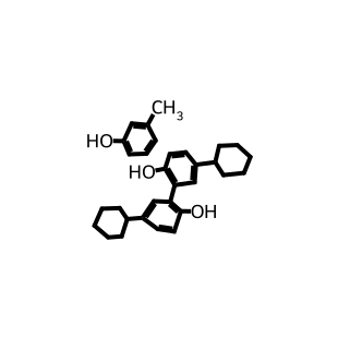 Cc1cccc(O)c1.Oc1ccc(C2CCCCC2)cc1-c1cc(C2CCCCC2)ccc1O